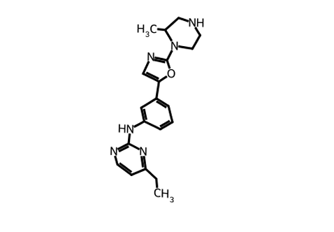 CCc1ccnc(Nc2cccc(-c3cnc(N4CCNCC4C)o3)c2)n1